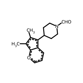 Cc1c2occcc-2c(C2CCN(C=O)CC2)c1C